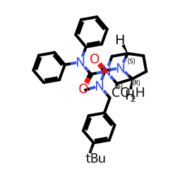 CN(Cc1ccc(C(C)(C)C)cc1)C(=O)N1[C@H]2CC[C@@H]1[C@@H](C(=O)O)N(C(=O)N(c1ccccc1)c1ccccc1)C2